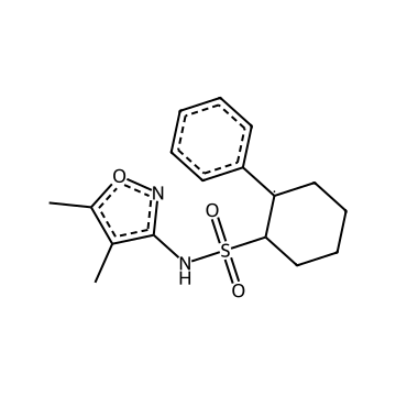 Cc1onc(NS(=O)(=O)C2CCCC[C]2c2ccccc2)c1C